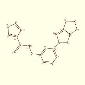 O=C(NCc1cccc(-c2cn3c(n2)CCC3)c1)c1cocn1